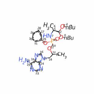 CCCCOC(OCCCC)C(C)NP(=O)(COC(C)Cn1cnc2c(N)ncnc21)Oc1ccccc1